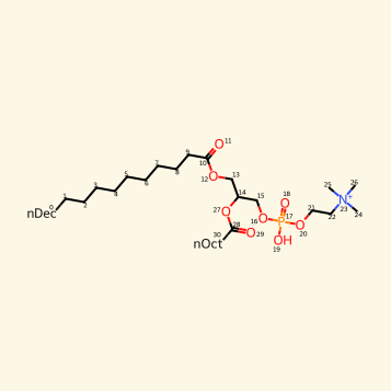 CCCCCCCCCCCCCCCCCCCC(=O)OCC(COP(=O)(O)OCC[N+](C)(C)C)OC(=O)CCCCCCCC